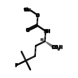 CC(C)(F)CC[C@H](NC(=O)OC(C)(C)C)C(=O)O